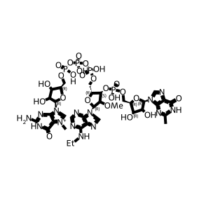 CCNc1ncnc2c1ncn2[C@@H]1O[C@H](COP(=O)(O)OP(=O)(O)OP(=O)(O)OC[C@H]2O[C@@H](n3c[n+](C)c4c(=O)[nH]c(N)nc43)C(O)C2O)[C@H](OP(=O)(O)OC[C@H]2O[C@@H](n3cnc4c(=O)[nH]c(C)nc43)C(O)[C@H]2O)C1OC